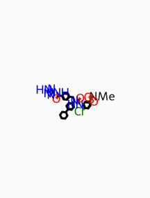 CNS(=O)(=O)c1ccc(Cl)c(NC(=O)N(Cc2ccc(C(=O)Nc3nn[nH]n3)cc2)c2ccc(C3CCCCC3)cc2)c1